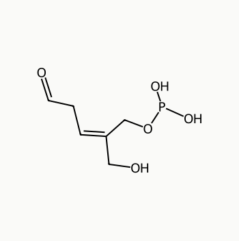 O=CCC=C(CO)COP(O)O